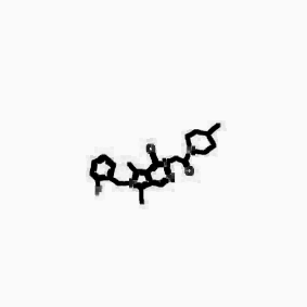 Cc1c2cnn(CC(=O)N3CCC(C)CC3)c(=O)c2c(C)n1Cc1ccccc1F